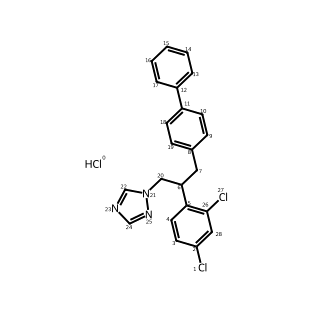 Cl.Clc1ccc(C(Cc2ccc(-c3ccccc3)cc2)Cn2cncn2)c(Cl)c1